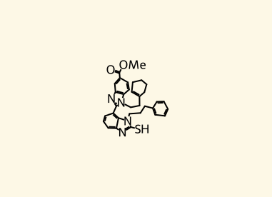 COC(=O)c1ccc2c(c1)nc(-c1cccc3nc(S)n(CCCc4ccccc4)c13)n2CCC1=CCCCC1